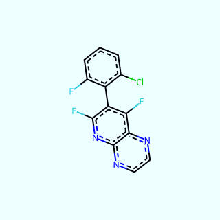 Fc1cccc(Cl)c1-c1c(F)nc2nccnc2c1F